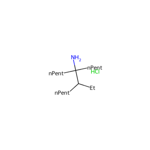 CCCCCC(CC)C(N)(CCCCC)CCCCC.Cl